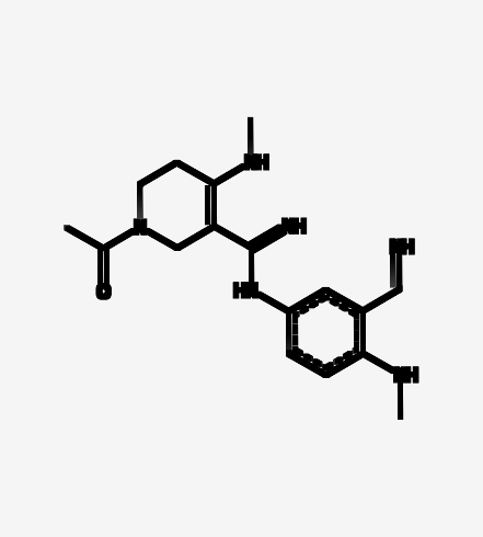 CNC1=C(C(=N)Nc2ccc(NC)c(C=N)c2)CN(C(C)=O)CC1